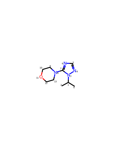 CC(C)n1ncnc1N1CCOCC1